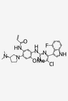 C=CC(=O)Nc1cc(Nc2ncc(Cl)c(-c3c[nH]c4cccc(F)c34)n2)c(OC)cc1N1CC[C@@H](N(C)C)C1